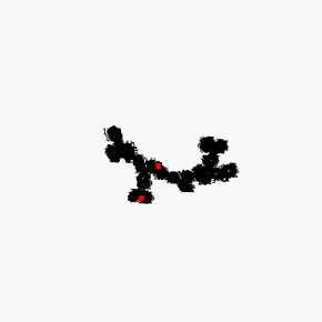 c1ccc(-n2c3ccccc3c3cc(-c4ccc(N(c5ccc6cc(-n7c8ccccc8c8ccccc87)ccc6c5)c5ccc6oc7cc(-c8ccc(-n9c%10ccccc%10c%10cc(-c%11ccc(N(c%12ccc(-n%13c%14ccccc%14c%14ccccc%14%13)cc%12)c%12ccc%13oc%14ccccc%14c%13c%12)c%12ccccc%11%12)ccc%109)cc8)ccc7c6c5)cc4)ccc32)cc1